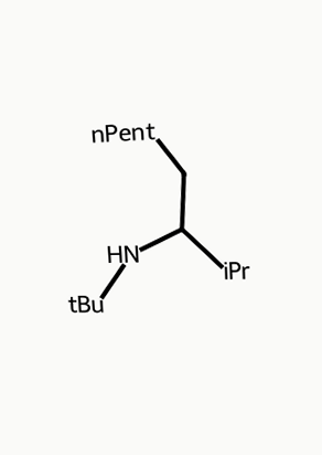 CCCCCCC(NC(C)(C)C)C(C)C